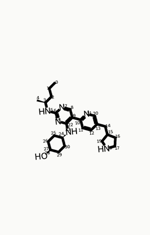 CCC[C@H](C)Nc1ncc(-c2ccc(CC3CCNC3)cn2)c(N[C@H]2CC[C@H](O)CC2)n1